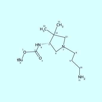 CC(C)(C)OC(=O)N[C@H]1CN(CCCN)CC1(C)C